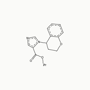 CC(C)OC(=O)c1cncn1C1CCOc2ccccc21